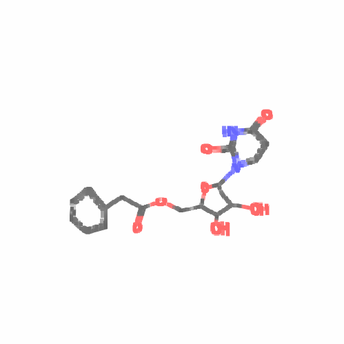 O=C(Cc1ccccc1)OCC1OC(n2ccc(=O)[nH]c2=O)C(O)C1O